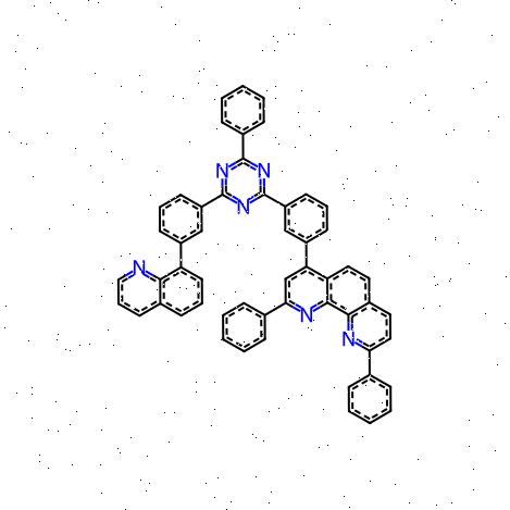 c1ccc(-c2ccc3ccc4c(-c5cccc(-c6nc(-c7ccccc7)nc(-c7cccc(-c8cccc9cccnc89)c7)n6)c5)cc(-c5ccccc5)nc4c3n2)cc1